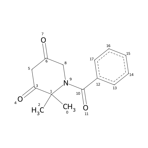 CC1(C)C(=O)CC(=O)CN1C(=O)c1ccccc1